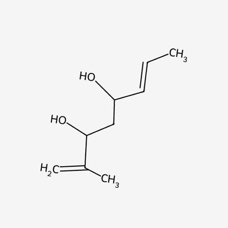 C=C(C)C(O)CC(O)C=CC